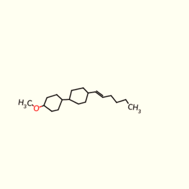 CCCC/C=C/C1CCC(C2CCC(OC)CC2)CC1